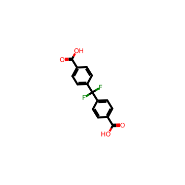 O=C(O)c1ccc(C(F)(F)c2ccc(C(=O)O)cc2)cc1